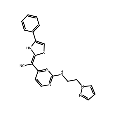 N#CC(=C1NC(c2ccccc2)=CS1)c1ccnc(NCCn2cccn2)n1